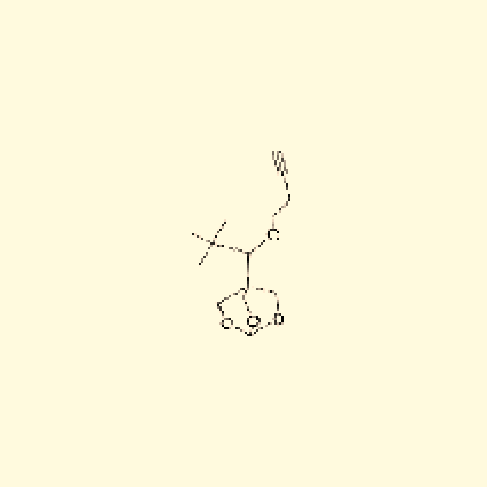 C#CCCOC(C(C)(C)C)C12COC(OC1)OC2